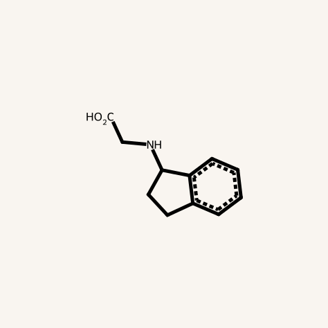 O=C(O)CNC1CCc2ccccc21